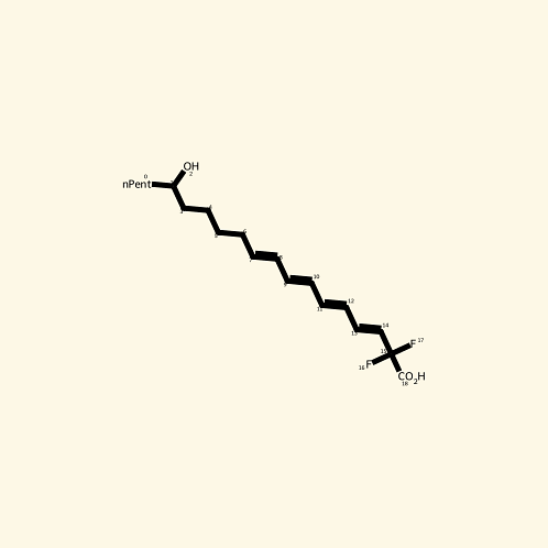 CCCCCC(O)CCCCC=CC=CC=CC=CC(F)(F)C(=O)O